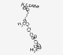 C=C(F)C(=O)Oc1ccc(C(=O)Oc2ccc(-c3ccc(-c4ccc(OCCCCCCOC(=O)C(=C)COC)c(C)c4)cc3)cc2)cc1